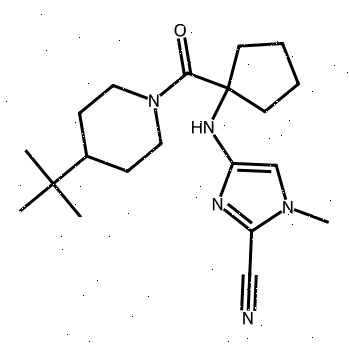 Cn1cc(NC2(C(=O)N3CCC(C(C)(C)C)CC3)CCCC2)nc1C#N